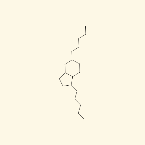 CCCCCC1CCC2C(CCCCC)CCC2C1